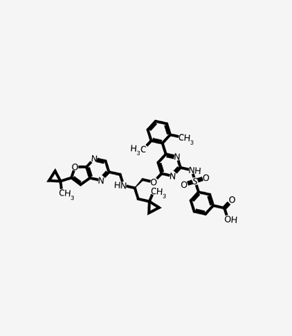 Cc1cccc(C)c1-c1cc(OC[C@@H](CC2(C)CC2)NCc2cnc3oc(C4(C)CC4)cc3n2)nc(NS(=O)(=O)c2cccc(C(=O)O)c2)n1